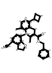 CC1=C(C(=O)OCc2ccccc2)Cc2c(C3CCC3)ncc(C)c2N1c1ccc(C#N)c2c1OCC2